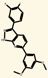 COc1cc(OC)cc(-c2ccc3c(-c4ccc(I)c(F)c4)n[nH]c3n2)c1